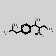 CCC(C(O)c1ccc(CC(C)C)cc1)[N+](=O)[O-]